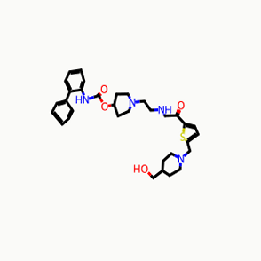 O=C(Nc1ccccc1-c1ccccc1)OC1CCN(CCNCC(=O)c2ccc(CN3CCC(CO)CC3)s2)CC1